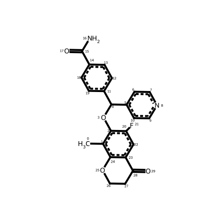 Cc1c(OC(c2ccncc2)c2ccc(C(N)=O)cc2)c(F)cc2c1OCCC2=O